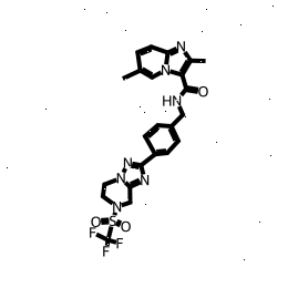 Cc1ccc2nc(C)c(C(=O)NCc3ccc(-c4nc5n(n4)CCN(S(=O)(=O)C(F)(F)F)C5)cc3)n2c1